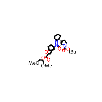 COCC(COC)OC(=O)c1cc2cc(NC(=O)[C@@H]3[C@H](C4CCCCC4)CCN3C(=O)OC(C)(C)C)ccc2o1